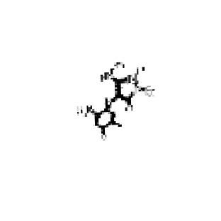 CCn1c(NC(C)C)c(N=C2C=C(C)C(=O)C=C2N)c(=O)n1CC